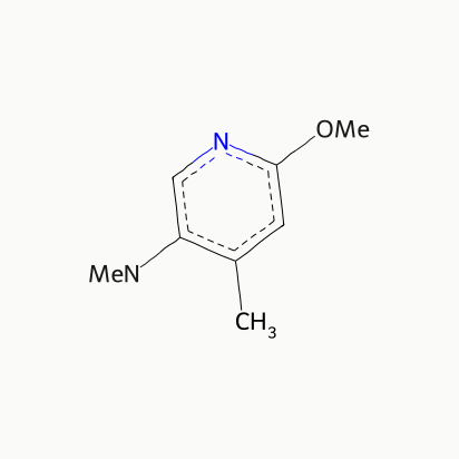 CNc1cnc(OC)cc1C